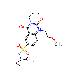 CCn1c(=O)c2cc(S(=O)(=O)NC3(C)CC3)ccc2n(CCOC)c1=O